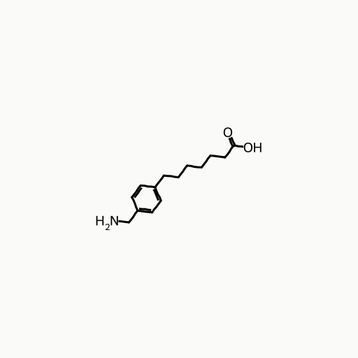 NCc1ccc(CCCCCCC(=O)O)cc1